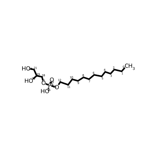 CCCCCCCCCCCCCOP(=O)(O)OCC(O)CO